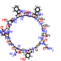 CCCC[C@H]1C(=O)N(C)[C@@H](CCCC)C(=O)N[C@@H](CC(C)C)C(=O)N[C@H](C(=O)NCC(N)=O)CSCC(=O)N[C@@H](Cc2ccc(O)cc2)C(=O)N(C)[C@@H](C)C(=O)N[C@@H](CC(N)=O)C(=O)N[C@H](C)C(=O)N[C@@H](Cc2cnc[nH]2)C(=O)N[C@@H](CCC(N)=O)C(=O)N2C[C@H](O)C[C@H]2C(=O)N[C@@H](Cc2c[nH]c3ccccc23)C(=O)N[C@@H](CO)C(=O)N[C@@H](Cc2c[nH]c3ccccc23)C(=O)N1C